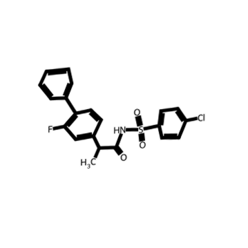 CC(C(=O)NS(=O)(=O)c1ccc(Cl)cc1)c1ccc(-c2ccccc2)c(F)c1